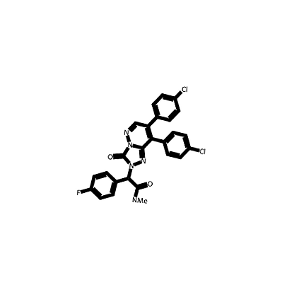 CNC(=O)C(c1ccc(F)cc1)n1nc2c(-c3ccc(Cl)cc3)c(-c3ccc(Cl)cc3)cnn2c1=O